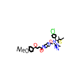 COc1ccc(C(=O)/C=C/C(=O)N2CC3CN(C(=O)C[C@@H]4N=C(c5ccc(Cl)cc5)c5c(sc(C)c5C)-n5c(C)nnc54)CC3C2)cc1